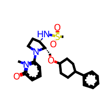 Cn1c(N2CC[C@H](NS(C)(=O)=O)[C@@H]2COC2CCC(c3ccccc3)CC2)cccc1=O